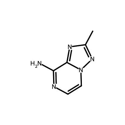 Cc1nc2c(N)nccn2n1